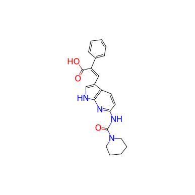 O=C(O)C(=Cc1c[nH]c2nc(NC(=O)N3CCCCC3)ccc12)c1ccccc1